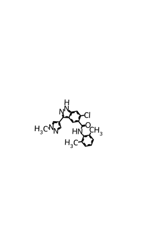 Cc1cccc(C)c1NC(=O)c1cc2c(-c3cnn(C)c3)n[nH]c2cc1Cl